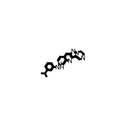 CC(C)c1cccc(NN2C=Cc3cc4nn5c(c4nc3=C2)=CN=CC5)c1